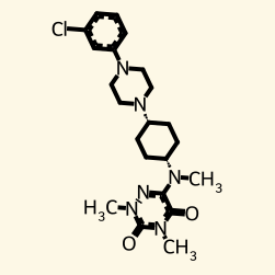 Cn1nc(N(C)[C@H]2CC[C@@H](N3CCN(c4cccc(Cl)c4)CC3)CC2)c(=O)n(C)c1=O